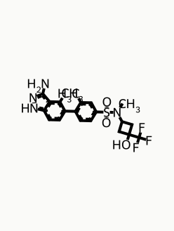 Cc1cc(S(=O)(=O)N(C)C2CC(O)(C(F)(F)F)C2)ccc1-c1ccc2[nH]nc(N)c2c1C